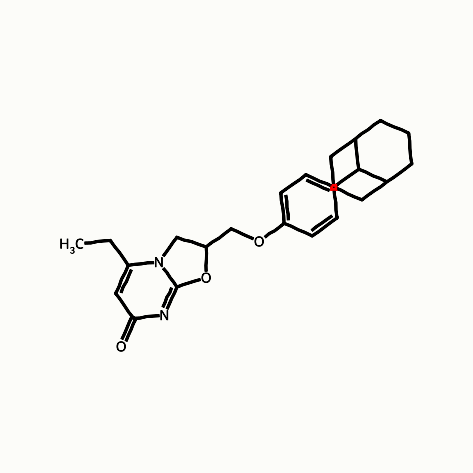 CCc1cc(=O)nc2n1CC(COc1ccc(C3C4CCCC3CCC4)cc1)O2